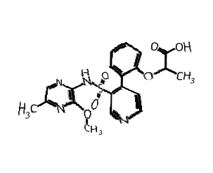 COc1nc(C)cnc1NS(=O)(=O)c1cnccc1-c1ccccc1OC(C)C(=O)O